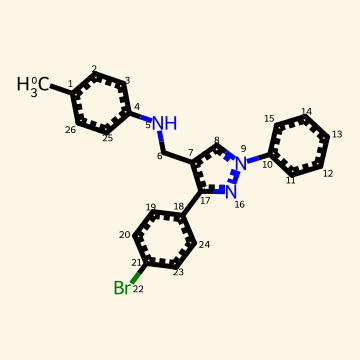 Cc1ccc(NCc2cn(-c3ccccc3)nc2-c2ccc(Br)cc2)cc1